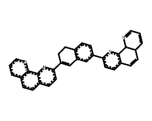 C1=CC2C=Cc3ccc(-c4ccc5c(c4)C=C(c4ccc6ccc7cccnc7c6n4)CC5)nc3C2N=C1